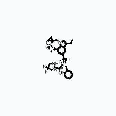 CCc1cn2c3c(cc(C(=O)N[C@@H](Cc4ccccc4)[C@H](O)[C@H]4CC(F)(F)CN4)cc13)N(C)S(=O)(=O)C1(CC1)C2